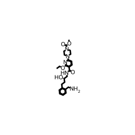 CCOc1nc(N2CCN(C(=O)OC)CC2)ccc1C(=O)NC[C@@H](O)CCc1ccccc1CN